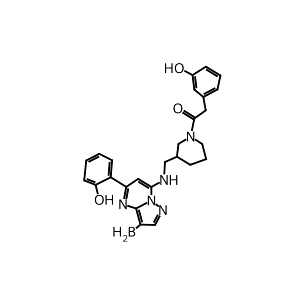 Bc1cnn2c(NCC3CCCN(C(=O)Cc4cccc(O)c4)C3)cc(-c3ccccc3O)nc12